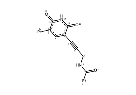 CCC(=O)NCC#Cc1cn(C(C)C)c(=O)[nH]c1=O